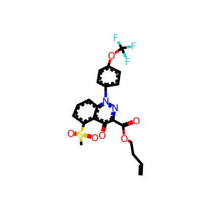 C=CCCOC(=O)c1nn(-c2ccc(OC(F)(F)F)cc2)c2cccc(S(C)(=O)=O)c2c1=O